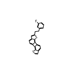 Fc1cccc(CCc2cc3ccc4c(c3s2)-c2ccc3ccsc3c2-4)c1